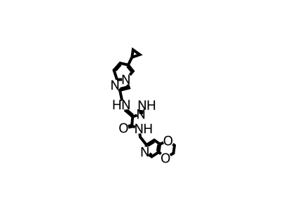 N=N/C(=C\NCc1cn2cc(C3CC3)ccc2n1)C(=O)NCc1cc2c(cn1)OCCO2